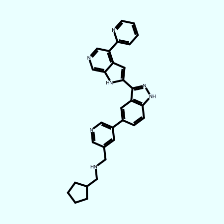 c1ccc(-c2cncc3[nH]c(-c4n[nH]c5ccc(-c6cncc(CNCC7CCCC7)c6)cc45)cc23)nc1